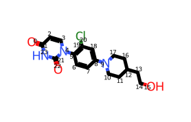 O=c1ccn(-c2ccc(N3CCC(CCO)CC3)cc2Cl)c(=O)[nH]1